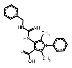 Cc1c(NC(=N)NCc2ccccc2)c(C(=O)O)c(C)n1-c1ccccc1